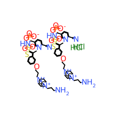 Cc1c(S(=O)(=O)NC(c2ccc(C#N)nc2)P(=O)([O-])[O-])sc2ccc(OCCC[N+]34CC[N+](CCCN)(CC3)CC4)cc12.Cc1c(S(=O)(=O)NC(c2ccc(C#N)nc2)P(=O)([O-])[O-])sc2ccc(OCCC[N+]34CC[N+](CCCN)(CC3)CC4)cc12.Cl.Cl